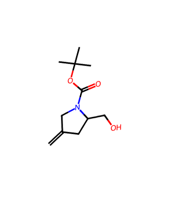 C=C1CC(CO)N(C(=O)OC(C)(C)C)C1